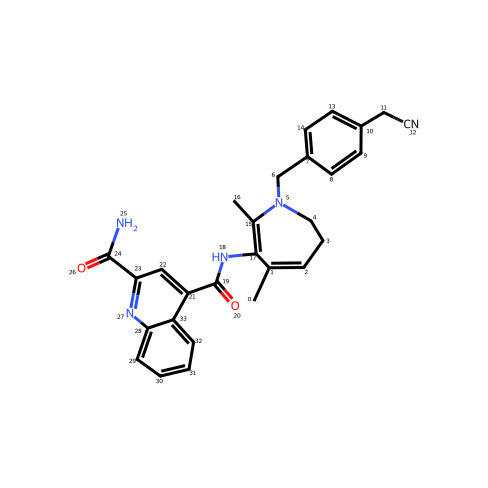 CC1=CCCN(Cc2ccc(CC#N)cc2)C(C)=C1NC(=O)c1cc(C(N)=O)nc2ccccc12